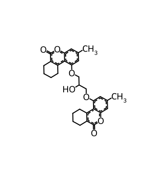 Cc1cc(OCC(O)COc2cc(C)cc3oc(=O)c4c(c23)CCCC4)c2c3c(c(=O)oc2c1)CCCC3